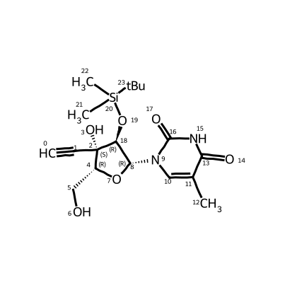 C#C[C@]1(O)[C@@H](CO)O[C@@H](n2cc(C)c(=O)[nH]c2=O)[C@@H]1O[Si](C)(C)C(C)(C)C